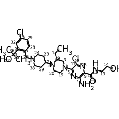 CC[C@H]1CN(c2nc(N)c(C(=O)NCCO)nc2Cl)CCN1C1CCN(Cc2ccc(Cl)cc2C(C)(C)O)CC1